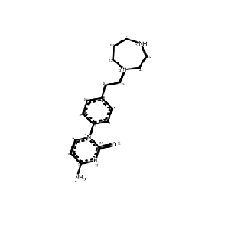 Nc1ccn(-c2ccc(CCN3CCCNCC3)cc2)c(=O)n1